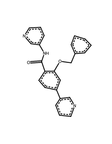 O=C(Nc1cccnc1)c1ccc(-c2cccnc2)cc1OCc1ccccc1